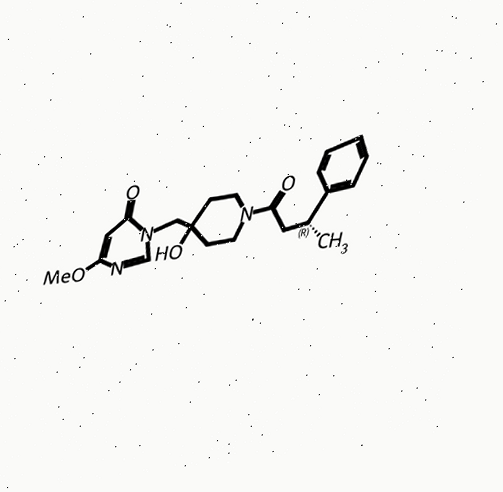 COc1cc(=O)n(CC2(O)CCN(C(=O)C[C@@H](C)c3ccccc3)CC2)cn1